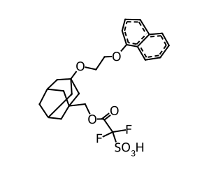 O=C(OCC12CC3CC(C1)CC(OCCOc1cccc4ccccc14)(C3)C2)C(F)(F)S(=O)(=O)O